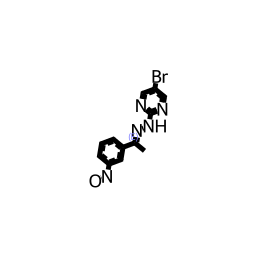 C/C(=N\Nc1ncc(Br)cn1)c1cccc(N=O)c1